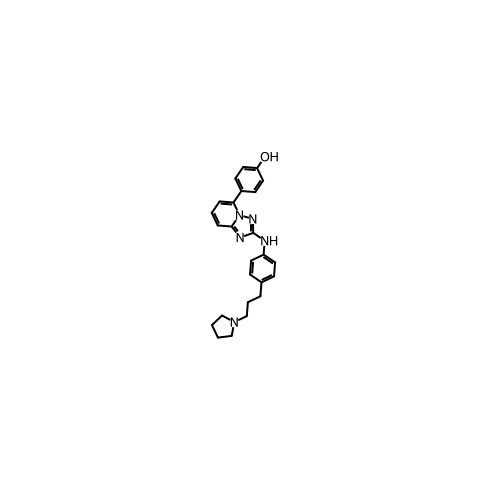 Oc1ccc(-c2cccc3nc(Nc4ccc(CCCN5CCCC5)cc4)nn23)cc1